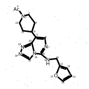 CC(=O)N1CCC(c2cnc(NCc3ccco3)n3cnnc23)CC1